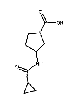 O=C(NC1CCN(C(=O)O)C1)C1CC1